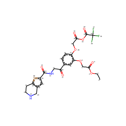 CCOC(=O)COc1cc(C(=O)CNC(=O)c2cc3c(s2)CCNC3)ccc1OCC(=O)OC(=O)C(F)(F)F